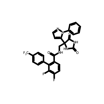 O=C1NC(=O)C(CNC(=O)c2ccc(F)c(F)c2-c2ccc(C(F)(F)F)cc2)(c2ccnn2-c2ccccc2)N1